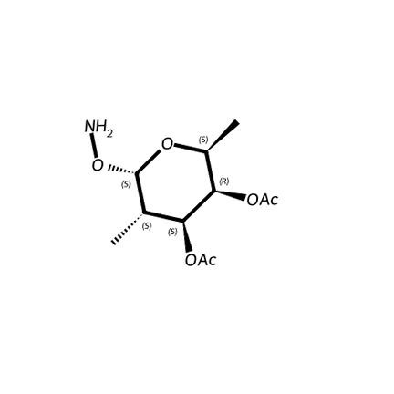 CC(=O)O[C@H]1[C@H](C)[C@H](ON)O[C@@H](C)[C@H]1OC(C)=O